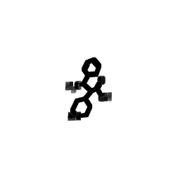 CC(c1ccccc1)C(C(=O)O)C1CCNCC1